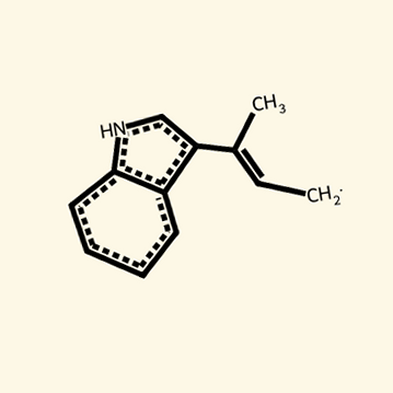 [CH2]C=C(C)c1c[nH]c2ccccc12